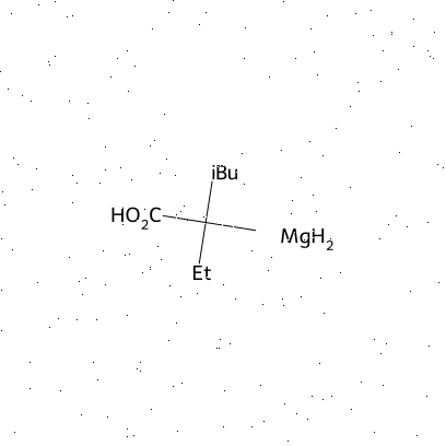 CCC(C)C(C)(CC)C(=O)O.[MgH2]